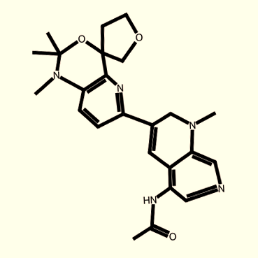 CC(=O)Nc1cncc2c1C=C(c1ccc3c(n1)C1(CCOC1)OC(C)(C)N3C)CN2C